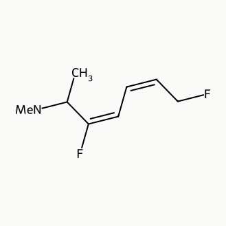 CNC(C)/C(F)=C\C=C/CF